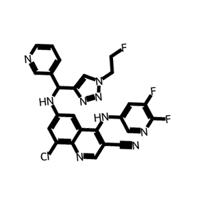 N#Cc1cnc2c(Cl)cc(NC(c3cccnc3)c3cn(CCF)nn3)cc2c1Nc1cnc(F)c(F)c1